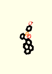 COc1ccc([P](=O)c2ccccc2-c2ccc3ccc4cccc5ccc2c3c45)cc1